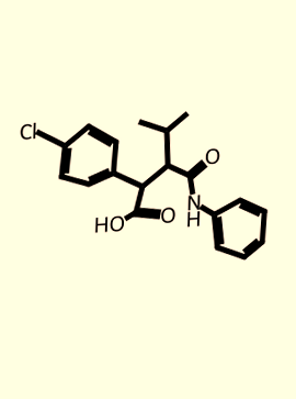 CC(C)C(C(=O)Nc1ccccc1)C(C(=O)O)c1ccc(Cl)cc1